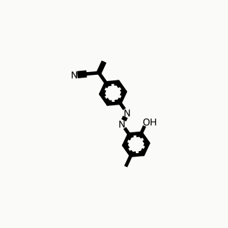 C=C(C#N)c1ccc(N=Nc2cc(C)ccc2O)cc1